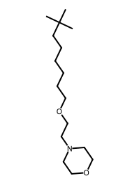 CC(C)(C)CCCCCCOCCN1CCOCC1